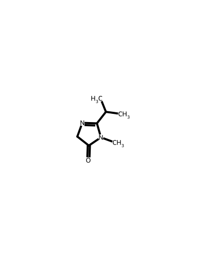 CC(C)C1=NCC(=O)N1C